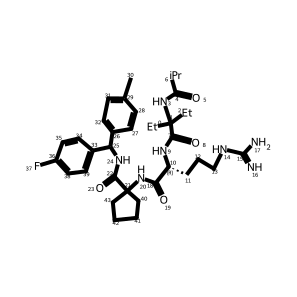 CCC(CC)(NC(=O)C(C)C)C(=O)N[C@H](CCCNC(=N)N)C(=O)NC1(C(=O)NC(c2ccc(C)cc2)c2ccc(F)cc2)CCCC1